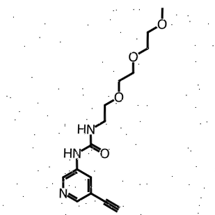 C#Cc1cncc(NC(=O)NCCOCCOCCOC)c1